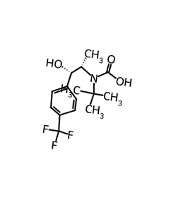 C[C@@H]([C@@H](O)c1ccc(C(F)(F)F)cc1)N(C(=O)O)C(C)(C)C